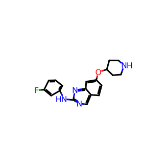 Fc1cccc(Nc2ncc3ccc(OC4CCNCC4)cc3n2)c1